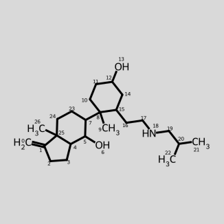 C=C1CCC2C(O)C(C3(C)CCC(O)CC3CCNCC(C)C)CCC12C